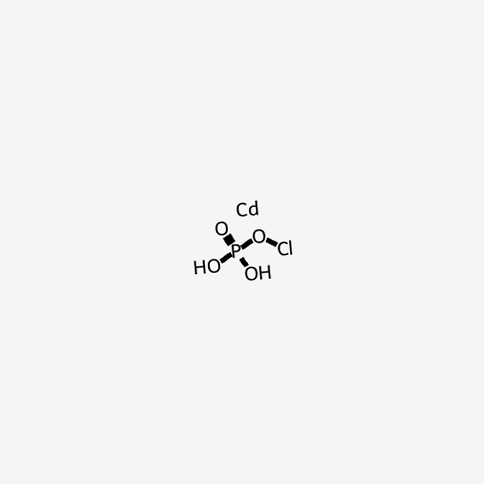 O=P(O)(O)OCl.[Cd]